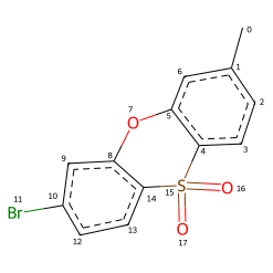 Cc1ccc2c(c1)Oc1cc(Br)ccc1S2(=O)=O